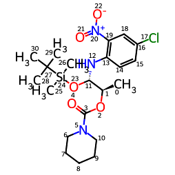 C[C@@H](OC(=O)N1CCCCC1)[C@@H](Nc1ccc(Cl)cc1[N+](=O)[O-])O[Si](C)(C)C(C)(C)C